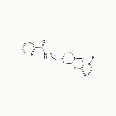 O=C(N/N=C/C1CCN(Cc2c(F)cccc2F)CC1)c1ccccn1